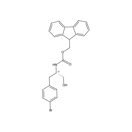 O=C(N[C@H](CO)Cc1ccc(Br)cc1)OCC1c2ccccc2-c2ccccc21